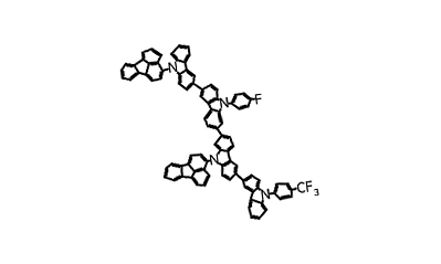 Fc1ccc(-n2c3ccc(-c4ccc5c(c4)c4ccccc4n5-c4ccc5c6c(cccc46)-c4ccccc4-5)cc3c3ccc(-c4ccc5c6cc(-c7ccc8c(c7)c7ccccc7n8-c7ccc(C(F)(F)F)cc7)ccc6n(-c6ccc7c8c(cccc68)-c6ccccc6-7)c5c4)cc32)cc1